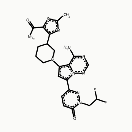 Cc1nc(C2CCCN(c3cc(-c4ccc(=O)n(CC(F)F)n4)n4ncnc(N)c34)C2)c(C(N)=O)s1